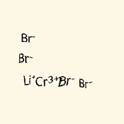 [Br-].[Br-].[Br-].[Br-].[Cr+3].[Li+]